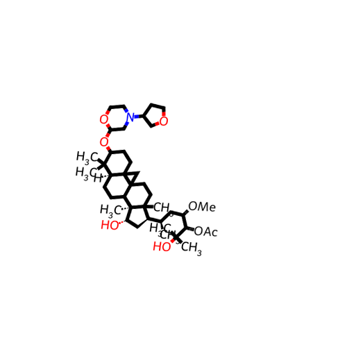 COC(C[C@@H](C)[C@H]1C[C@H](O)[C@@]2(C)C3CC[C@H]4C(C)(C)C(OC5CN(C6CCOC6)CCO5)CCC45CC35CCC12C)C(OC(C)=O)C(C)(C)O